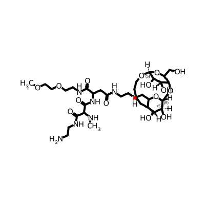 CNC(C(=O)NCCN)C(=O)NC(CC(=O)NCCNCC1O[C@@H]2OC3C(CO)O[C@H](OCCCCC1[C@@H](O)[C@@H]2O)C(O)[C@H]3O)C(=O)NCCOCCOC